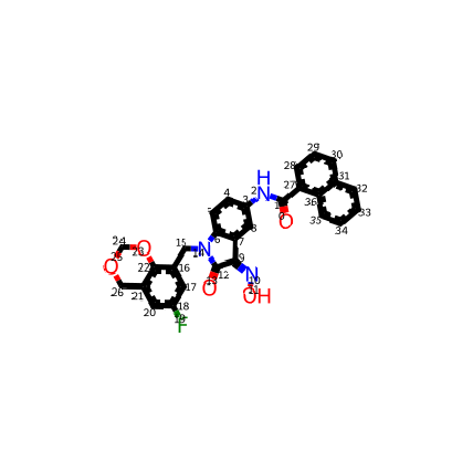 O=C(Nc1ccc2c(c1)/C(=N/O)C(=O)N2Cc1cc(F)cc2c1OCOC2)c1cccc2ccccc12